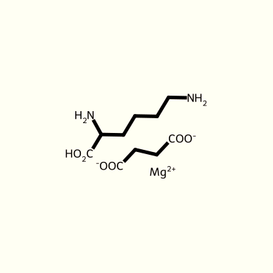 NCCCCC(N)C(=O)O.O=C([O-])CCC(=O)[O-].[Mg+2]